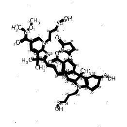 CON(C)C(=O)C1=CN(CCCSO)C2N=C(/C=C/C=C/C=C3/N(CCCSO)c4ccc(SO)cc4C3(C)c3ccc(C(=O)ON4C(=O)CCC4=O)cc3)C(C)(C)C2=C1